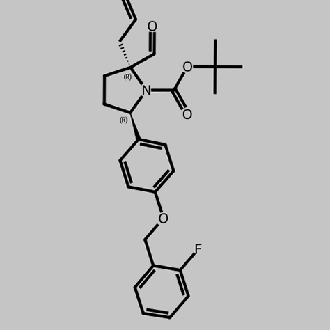 C=CC[C@@]1(C=O)CC[C@H](c2ccc(OCc3ccccc3F)cc2)N1C(=O)OC(C)(C)C